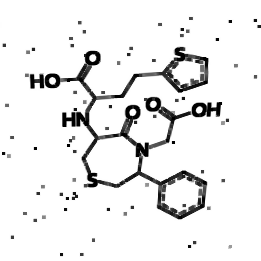 O=C(O)CN1C(=O)C(NC(CCc2cccs2)C(=O)O)CSCC1c1ccccc1